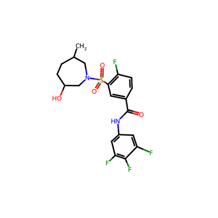 CC1CCC(O)CN(S(=O)(=O)c2cc(C(=O)Nc3cc(F)c(F)c(F)c3)ccc2F)C1